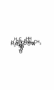 CCN1CC(C)(C)Oc2nc(N3CC4CC35CC5O4)nc(-c3ccc(NC(=O)Nc4ccnc(C)c4)c(F)c3)c2C1=O